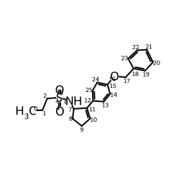 CCCS(=O)(=O)NC1CCC=C1c1ccc(OCc2ccccc2)cc1